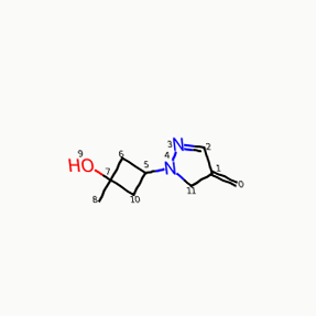 C=C1C=NN(C2CC(C)(O)C2)C1